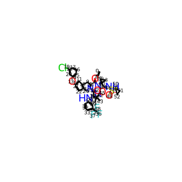 C=C[C@@H]1C[C@]1(NC(=O)[C@@H]1Cc2cc(Oc3cccc(Cl)c3)ccc2CN1C(=O)[C@@H](Nc1cccc(C(F)(F)F)c1)C(C)(C)C)C(=O)N[S+]([O-])C1(C)CC1